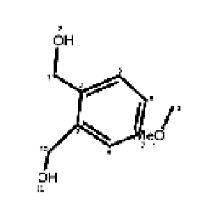 COC.OCc1ccccc1CO